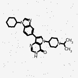 CC(C)N1CCC(n2cc(-c3ccc4c(c3)ncn4C3CCCCC3)c3nc[nH]c(=O)c32)CC1